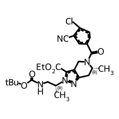 CCOC(=O)c1c2c(nn1[C@H](C)CNC(=O)OC(C)(C)C)C[C@@H](C)N(C(=O)c1ccc(Cl)c(C#N)c1)C2